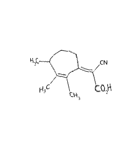 CC1=C(C)C(C)CCC1=C(C#N)C(=O)O